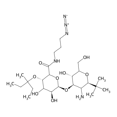 CCC(C)(CC)O[C@@H]1C(C(=O)NCCCN=[N+]=[N-])O[C@@H](O[C@@H]2C(N)[C@H](C(C)(C)C)OC(CO)[C@H]2O)[C@@H](O)C1O